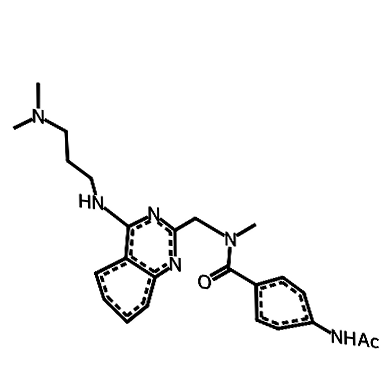 CC(=O)Nc1ccc(C(=O)N(C)Cc2nc(NCCCN(C)C)c3ccccc3n2)cc1